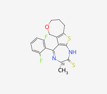 C[C@@H]1N=C(c2c(F)cccc2F)c2c(sc3c2COCCC3)NC1=S